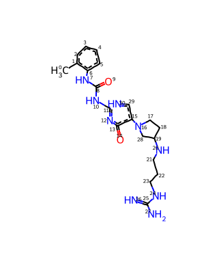 Cc1ccccc1NC(=O)Nc1nc(=O)c(N2CCC(NCCCNC(=N)N)C2)c[nH]1